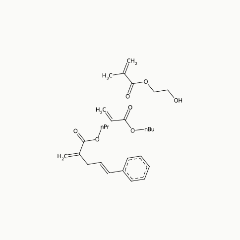 C=C(C)C(=O)OCCO.C=C(CC=Cc1ccccc1)C(=O)OCCC.C=CC(=O)OCCCC